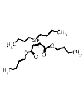 CCCCOC(=O)/C=C\C(=O)OCCCC.CCC[CH2][Sn][CH2]CCC